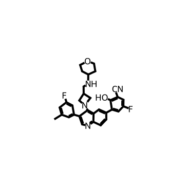 Cc1cc(F)cc(-c2cnc3ccc(-c4cc(F)cc(C#N)c4O)cc3c2N2CC(CNC3CCOCC3)C2)c1